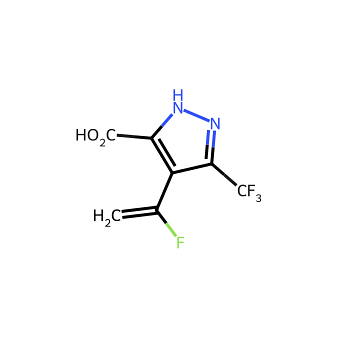 C=C(F)c1c(C(F)(F)F)n[nH]c1C(=O)O